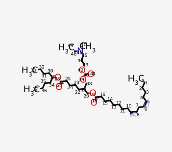 CCCCC/C=C\C/C=C\CCCCCCCC(=O)OCC(CCCCC(=O)OC(CCCC)CCCC)COC(=O)OCCCN(C)CC